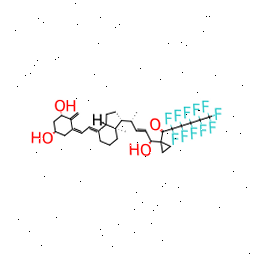 C=C1/C(=C\C=C2/CCC[C@]3(C)[C@@H]([C@H](C)/C=C/[C@H](O)C4(C(=O)C(F)(F)C(F)(F)C(F)(F)C(F)(F)C(F)(F)F)CC4)CC[C@@H]23)C[C@@H](O)C[C@@H]1O